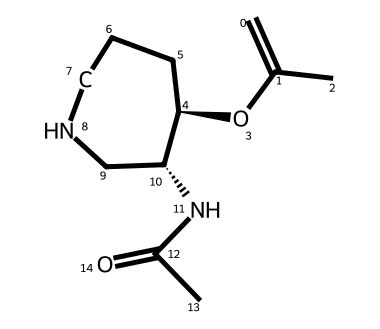 C=C(C)O[C@@H]1CCCNC[C@H]1NC(C)=O